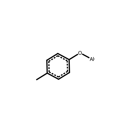 Cc1ccc([O][Al])cc1